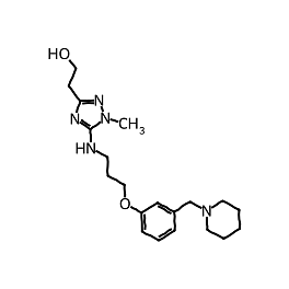 Cn1nc(CCO)nc1NCCCOc1cccc(CN2CCCCC2)c1